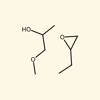 CCC1CO1.COCC(C)O